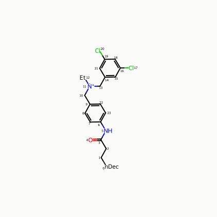 CCCCCCCCCCCCC(=O)Nc1ccc(C[N+](CC)Cc2cc(Cl)cc(Cl)c2)cc1